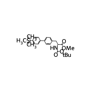 COC(=O)C(Cc1ccc(-c2ccc([Si](C)(C)C)cc2)cc1)NC(=O)OC(C)(C)C